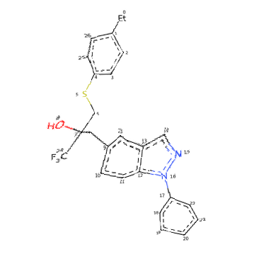 CCc1ccc(SCC(O)(c2ccc3c(cnn3-c3ccccc3)c2)C(F)(F)F)cc1